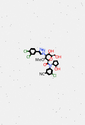 CO[C@@H]1[C@@H](n2cc(-c3ccc(Cl)c(Cl)c3)nn2)[C@@H](O)[C@@H](CO)O[C@H]1C(=O)N(c1cc(Cl)cc(C#N)c1)[C@@H]1CCC[C@H]1O